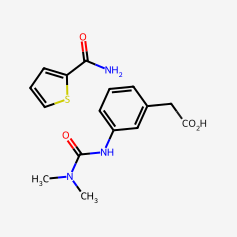 CN(C)C(=O)Nc1cccc(CC(=O)O)c1.NC(=O)c1cccs1